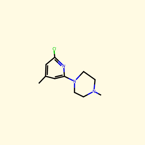 Cc1cc(Cl)nc(N2CCN(C)CC2)c1